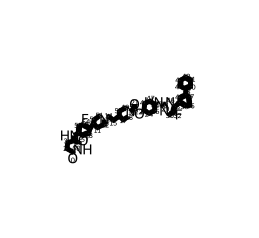 O=C1CCC(Nc2ccc(C3CCN(CCC4CCN(C(=O)O[C@H]5CC[C@H](Nc6ncc(F)c(-c7cccc(-c8ccccc8)c7)n6)CC5)CC4)CC3)c(F)c2)C(=O)N1